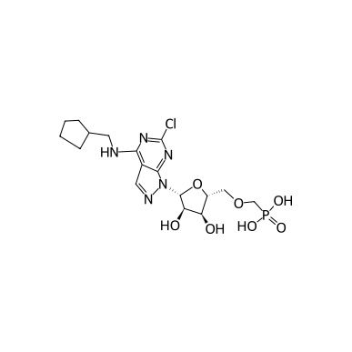 O=P(O)(O)COC[C@H]1O[C@@H](n2ncc3c(NCC4CCCC4)nc(Cl)nc32)[C@H](O)[C@@H]1O